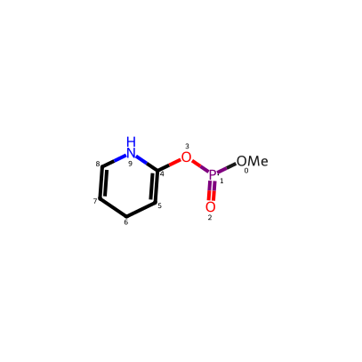 CO[P](=O)OC1=CCC=CN1